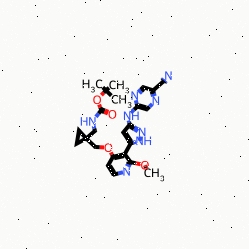 COc1nccc(OCC2(CNC(=O)OC(C)(C)C)CC2)c1-c1cc(Nc2cnc(C#N)cn2)n[nH]1